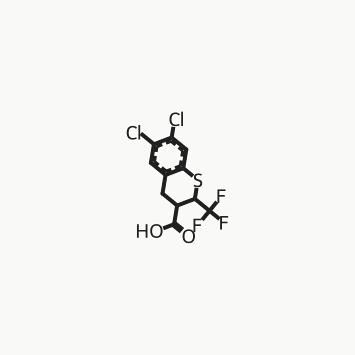 O=C(O)C1Cc2cc(Cl)c(Cl)cc2SC1C(F)(F)F